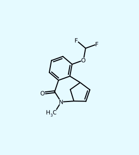 CN1C(=O)c2cccc(OC(F)F)c2C2C=CC1C2